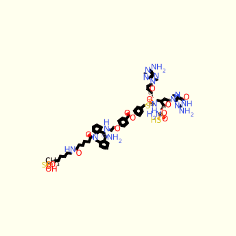 CP(O)(=S)OCCCCCCNC(=O)CCCCC(=O)N1Cc2ccccc2/C(N)=C(/NCCOc2ccc(C(=O)Oc3ccc(CS[P@](NCC4C[C@H](n5cnc6c(=O)[nH]c(N)nc65)O[C@@H]4CO[P@@](N)(=O)S)OC[C@@H]4CC[C@H](n5cnc6c(N)ncnc65)O4)cc3)cc2)c2ccccc21